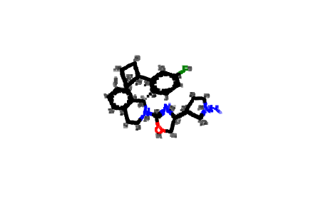 Fc1ccc([C@H]2c3ccccc3CCN2C2=NC(C3CCNC3)CO2)c(C2CCC2)c1